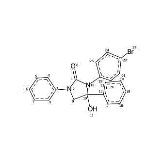 O=C1N(c2ccccc2)CC(O)(c2ccccc2)N1c1ccc(Br)cc1